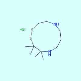 Br.CC1(C)NCCCNCCSSC1(C)C